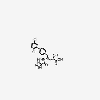 O=C(NN(Cc1ccc(-c2cc(Cl)ccc2Cl)cc1)CC(O)C(=O)O)c1nnn[nH]1